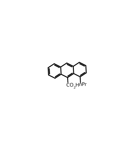 CCCc1cccc2cc3ccccc3c(C(=O)O)c12